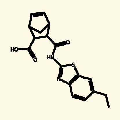 CCc1ccc2nc(NC(=O)C3C4C=CC(C4)C3C(=O)O)sc2c1